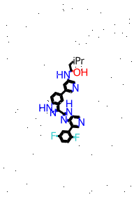 CC(C)CC(O)Nc1cncc(-c2ccc3[nH]nc(-c4nc5c(-c6cc(F)ccc6F)cncc5[nH]4)c3c2)c1